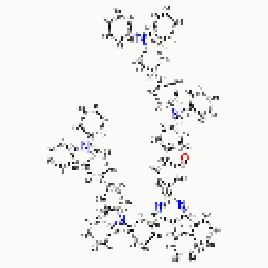 c1ccc(-n2c3ccccc3c3cc(-c4ccc5c(c4)c4ccccc4n5-c4cccc(-c5nc(-c6ccc7c(c6)oc6cc(-n8c9ccccc9c9cc(-c%10ccc%11c(c%10)c%10ccccc%10n%11-c%10ccccc%10)ccc98)ccc67)nc6c5-c5cccc7cccc-6c57)c4)ccc32)cc1